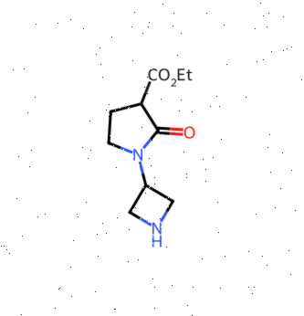 CCOC(=O)C1CCN(C2CNC2)C1=O